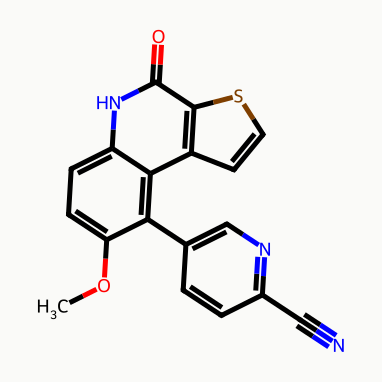 COc1ccc2[nH]c(=O)c3sccc3c2c1-c1ccc(C#N)nc1